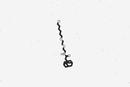 O=C(CC12CC3CC(CC(C3)C1)C2)NCCOCCOCCCCCCCl